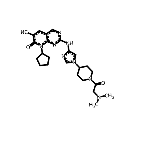 CN(C)CC(=O)N1CCC(n2cnc(Nc3ncc4cc(C#N)c(=O)n(C5CCCC5)c4n3)c2)CC1